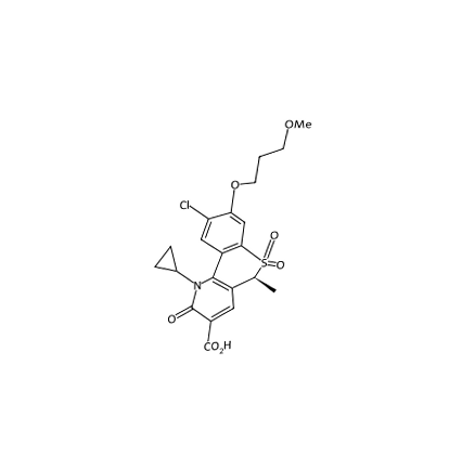 COCCCOc1cc2c(cc1Cl)-c1c(cc(C(=O)O)c(=O)n1C1CC1)[C@H](C)S2(=O)=O